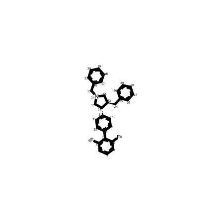 Fc1cccc(F)c1-c1ccc([C@@H]2CN(Cc3ccccc3)C[C@H]2Cc2ccccc2)cc1